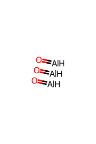 [O]=[AlH].[O]=[AlH].[O]=[AlH]